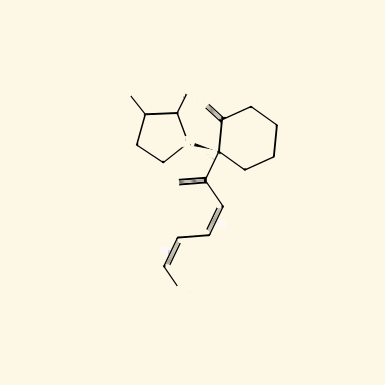 C=C(/C=C\C=C/C)[C@@]1(N2CCC(C)C2C)CCCCC1=O